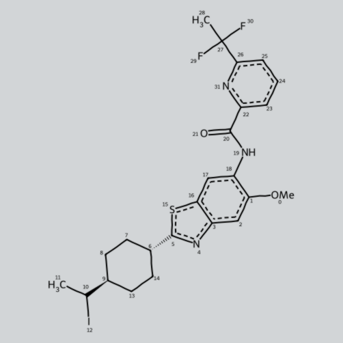 COc1cc2nc([C@H]3CC[C@H](C(C)I)CC3)sc2cc1NC(=O)c1cccc(C(C)(F)F)n1